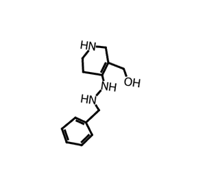 OCC1=C(NNCc2ccccc2)CCNC1